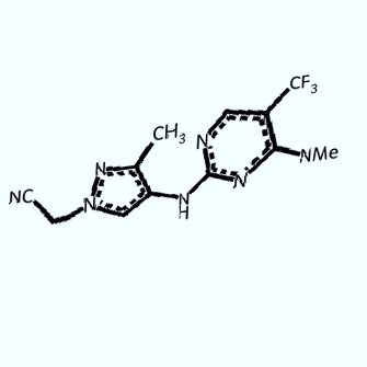 CNc1nc(Nc2cn(CC#N)nc2C)ncc1C(F)(F)F